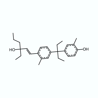 CCCC(O)(C=Cc1ccc(C(CC)(CC)c2ccc(O)c(C)c2)cc1C)CC